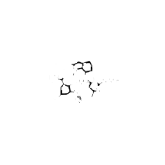 CNc1nc(C)cc(Oc2cccc3cc(C(=O)O)n(C)c23)n1.COc1c(NS(C)(=O)=O)cc(C(C)(C)C)cc1C(N)=O